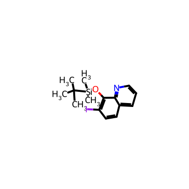 CC(C)(C)[Si](C)(C)Oc1c(I)ccc2cccnc12